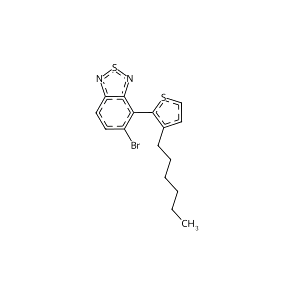 CCCCCCc1ccsc1-c1c(Br)ccc2nsnc12